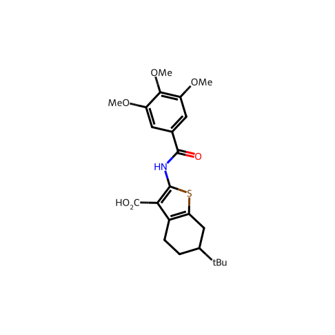 COc1cc(C(=O)Nc2sc3c(c2C(=O)O)CCC(C(C)(C)C)C3)cc(OC)c1OC